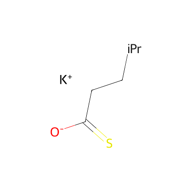 CC(C)CCC([O-])=S.[K+]